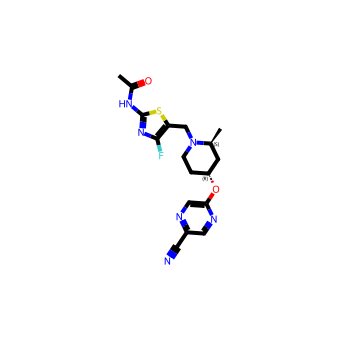 CC(=O)Nc1nc(F)c(CN2CC[C@@H](Oc3cnc(C#N)cn3)C[C@@H]2C)s1